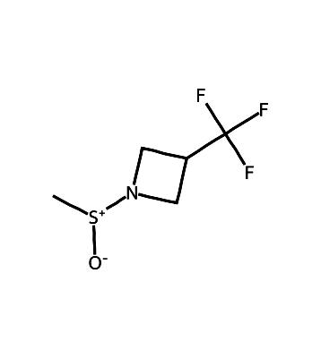 C[S+]([O-])N1CC(C(F)(F)F)C1